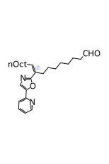 CCCCCCCC/C=C(/CCCCCCCC=O)c1ncc(-c2ccccn2)o1